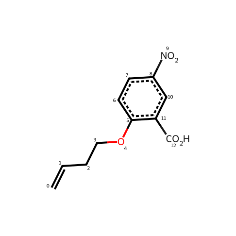 C=CCCOc1ccc([N+](=O)[O-])cc1C(=O)O